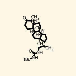 CC(CNC(=O)NC(C)(C)C)[C@H]1CC[C@H]2[C@@H]3CC[C@H]4N(C)C(=O)CC[C@]4(C)[C@H]3CC[C@]12C